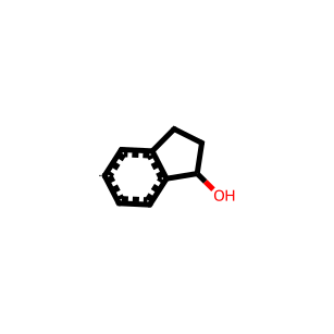 OC1CCc2c[c]ccc21